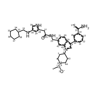 C[S+]([O-])N1CCC(n2cc(-c3cccc(C(N)=S)c3)c3ccc(CNC(=O)Cc4cc(NCC5CCCCC5)c[nH]4)cc32)CC1